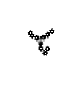 c1ccc(-c2ccc(-c3ccc(N(c4ccc(-c5cccc(-n6c7ccccc7c7ccccc76)c5)cc4)c4ccc(-c5ccc6ccccc6c5)cc4)cc3)cc2)cc1